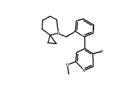 COc1cc(-c2ccccc2CN2CCCCC23CC3)c(F)cn1